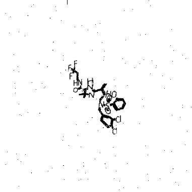 C=C(CCN(Cc1ccc(Cl)c(Cl)c1)S(=O)(=O)c1ccccc1O)C1=NC(C)(C)[C@H](C(=O)NCCC(F)(F)F)N1